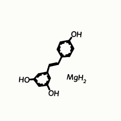 Oc1ccc(C=Cc2cc(O)cc(O)c2)cc1.[MgH2]